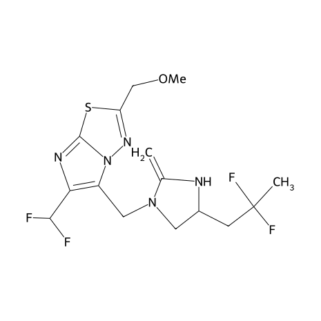 C=C1NC(CC(C)(F)F)CN1Cc1c(C(F)F)nc2sc(COC)nn12